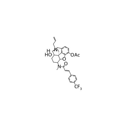 C=CCN1CC[C@]23c4c5ccc(OC(C)=O)c4OC2C(N(C)C(=O)/C=C/c2ccc(C(F)(F)F)cc2)CC[C@@]3(O)[C@H]1C5